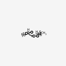 CC(C)C(=O)Nc1cccc(C2CCN(CCCc3c(-c4ccccc4)[nH]c4ccc(OC(F)(F)F)cc34)CC2)c1